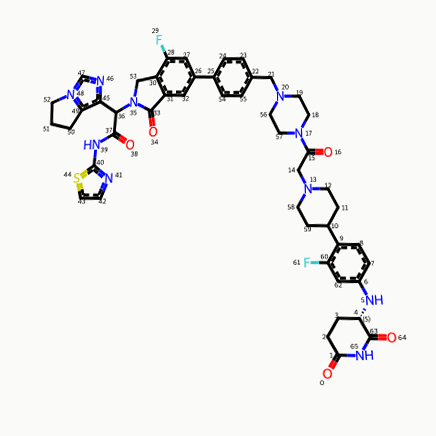 O=C1CC[C@H](Nc2ccc(C3CCN(CC(=O)N4CCN(Cc5ccc(-c6cc(F)c7c(c6)C(=O)N(C(C(=O)Nc6nccs6)c6ncn8c6CCC8)C7)cc5)CC4)CC3)c(F)c2)C(=O)N1